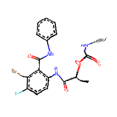 C[C@H](OC(=O)NC(C)(C)C)C(=O)Nc1ccc(F)c(Br)c1C(=O)Nc1ccccc1